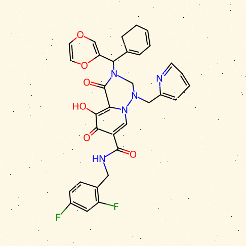 O=C(NCc1ccc(F)cc1F)c1cn2c(c(O)c1=O)C(=O)N(C(C1=CC=CCC1)C1=COC=CO1)CN2Cc1ccccn1